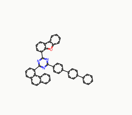 c1ccc(-c2ccc(-c3ccc(-c4nc(-c5cccc6c5oc5ccccc56)nc(-c5cccc6ccc7ccccc7c56)n4)cc3)cc2)cc1